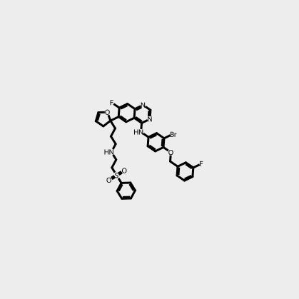 O=S(=O)(CCNCCCC1(c2cc3c(Nc4ccc(OCc5cccc(F)c5)c(Br)c4)ncnc3cc2F)CC=CO1)c1ccccc1